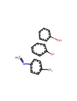 C=Nc1ccc(C(F)(F)F)cc1.Oc1ccccc1.Oc1ccccc1